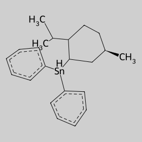 CC(C)C1CC[C@@H](C)C[CH]1[SnH]([c]1ccccc1)[c]1ccccc1